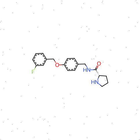 O=C(NCc1ccc(OCc2cccc(F)c2)cc1)[C@@H]1CCCN1